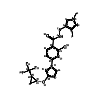 Cc1nn(C)cc1SNC(=O)c1ccc(-n2ccc(O[C@@H]3C[C@H]3C(F)(F)F)n2)nc1Cl